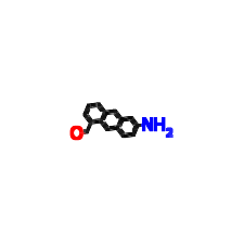 Nc1ccc2cc3c(C=O)cccc3cc2c1